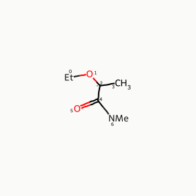 CCO[C](C)C(=O)NC